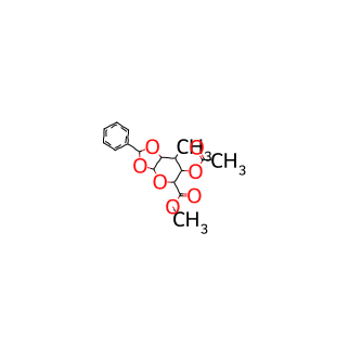 COC(=O)C1OC2OC(c3ccccc3)OC2C(C)C1OC(C)=O